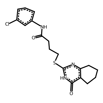 O=C(CCCSc1nc2c(c(=O)[nH]1)CCCC2)Nc1cccc(Cl)c1